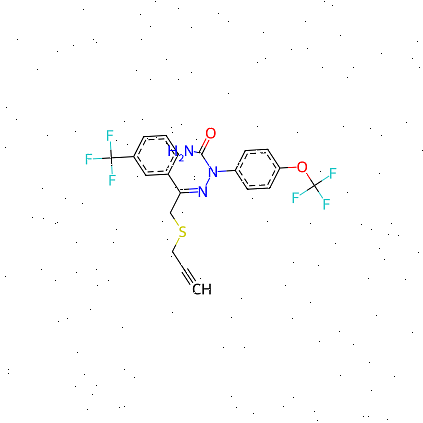 C#CCSC/C(=N/N(C(N)=O)c1ccc(OC(F)(F)F)cc1)c1cccc(C(F)(F)F)c1